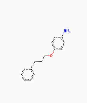 Nc1c[c]c(OCCCc2ccccc2)cc1